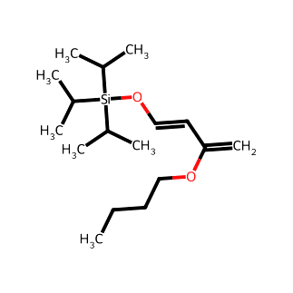 C=C(C=CO[Si](C(C)C)(C(C)C)C(C)C)OCCCC